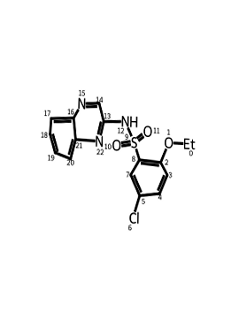 CCOc1ccc(Cl)cc1S(=O)(=O)Nc1cnc2ccccc2n1